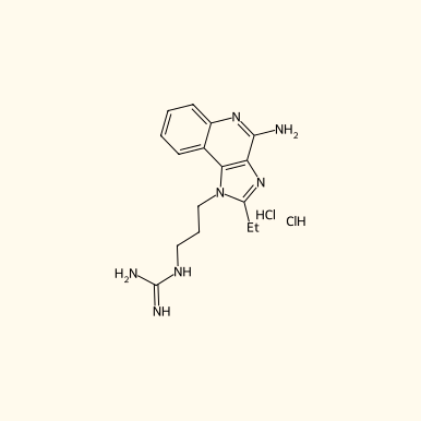 CCc1nc2c(N)nc3ccccc3c2n1CCCNC(=N)N.Cl.Cl